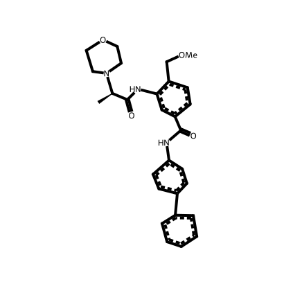 COCc1ccc(C(=O)Nc2ccc(-c3ccccc3)cc2)cc1NC(=O)[C@@H](C)N1CCOCC1